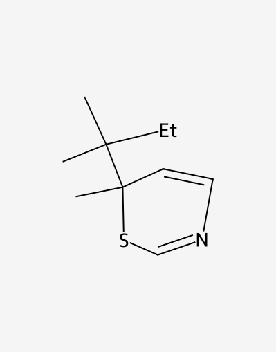 CCC(C)(C)C1(C)C=CN=CS1